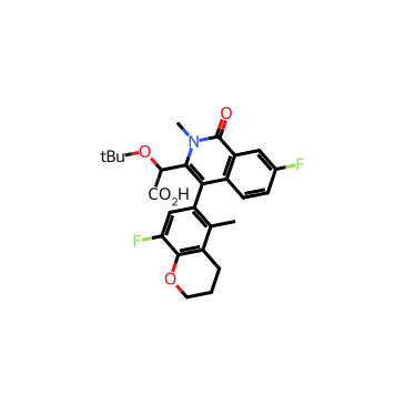 Cc1c(-c2c(C(OC(C)(C)C)C(=O)O)n(C)c(=O)c3cc(F)ccc23)cc(F)c2c1CCCO2